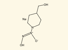 [Na].[O-][N+](=NO)N1CCC(CO)CC1